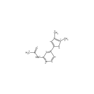 CC(=O)Nc1cc(-c2cc(C)c(C)s2)ccn1